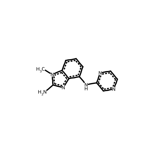 Cn1c(N)nc2c(Nc3cnccn3)cccc21